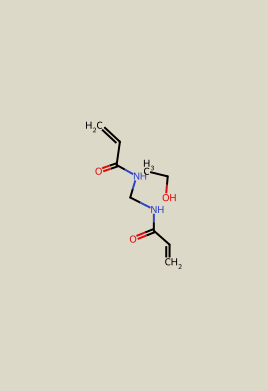 C=CC(=O)NCNC(=O)C=C.CCO